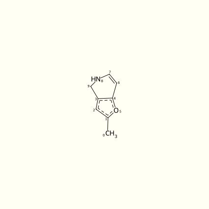 Cc1cc2c(o1)C=CNC2